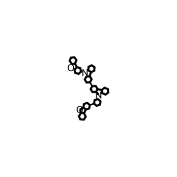 c1cc(-c2ccc3oc4ccccc4c3c2)cc(-n2c3ccccc3c3cc(-c4ccc5c(c4)c4ccccc4n5-c4ccc5oc6ccccc6c5c4)ccc32)c1